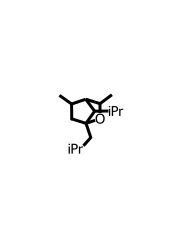 CC(C)CC12CC(C)C(C(C)O1)C2C(C)C